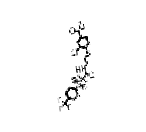 COC(=O)c1ccc(SCCNC(=O)C(C)(C)S(=O)(=O)c2ccc(C(F)(F)F)cn2)c(Cl)c1